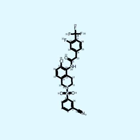 N#Cc1cccc(S(=O)(=O)N2CCc3c(ccc(Cl)c3NC(=O)Cc3ccc(C(F)(F)F)c(F)c3)C2)c1